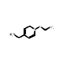 NCC1=CCN(OCC(F)(F)F)C=C1